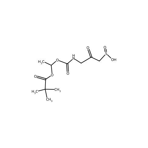 CC(OC(=O)NCC(=O)CS(=O)O)OC(=O)C(C)(C)C